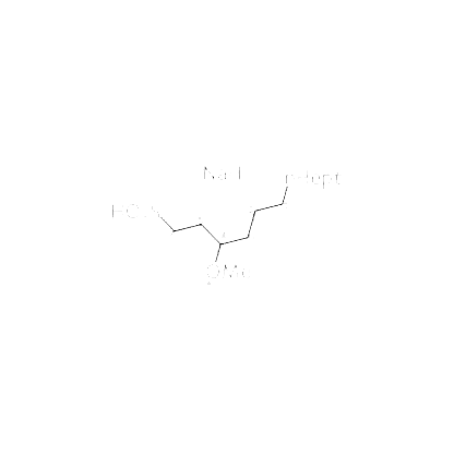 CCCCCCCCCCC(CCS(=O)(=O)O)OC.[NaH]